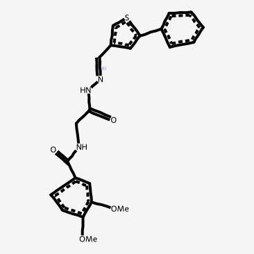 COc1ccc(C(=O)NCC(=O)N/N=C/c2csc(-c3ccccc3)c2)cc1OC